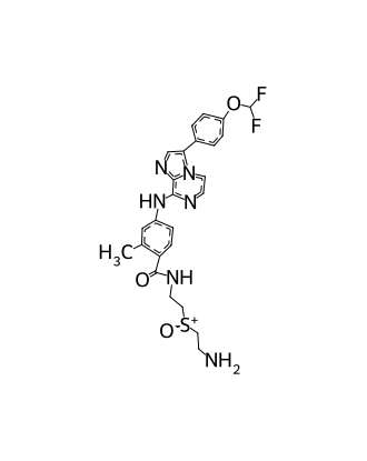 Cc1cc(Nc2nccn3c(-c4ccc(OC(F)F)cc4)cnc23)ccc1C(=O)NCC[S+]([O-])CCN